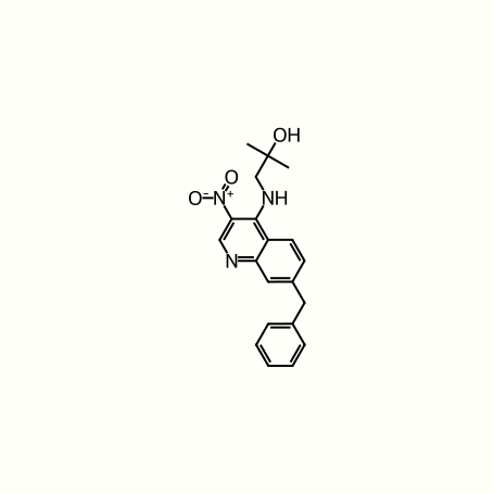 CC(C)(O)CNc1c([N+](=O)[O-])cnc2cc(Cc3ccccc3)ccc12